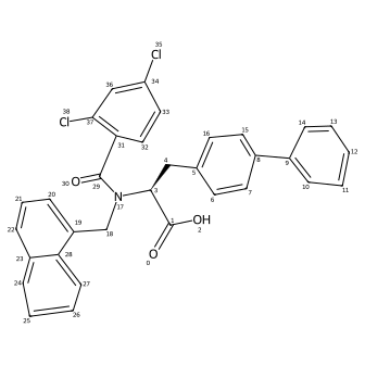 O=C(O)[C@H](Cc1ccc(-c2ccccc2)cc1)N(Cc1cccc2ccccc12)C(=O)c1ccc(Cl)cc1Cl